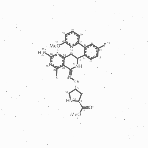 COC(=O)[C@@H]1C[C@@H](ON=C2NC(c3ccc(F)cc3-c3cccc(OC)n3)Cc3nc(N)nc(C)c32)CN1